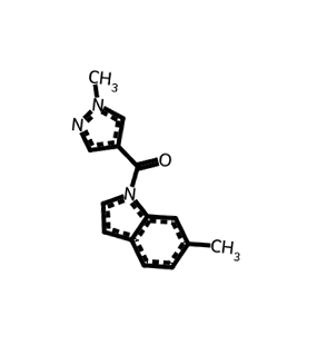 Cc1ccc2ccn(C(=O)c3cnn(C)c3)c2c1